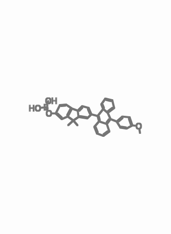 COc1ccc(-c2c3ccccc3c(-c3ccc4c(c3)C(C)(C)c3cc(OB(O)O)ccc3-4)c3ccccc23)cc1